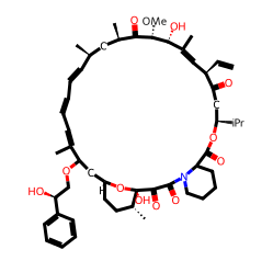 C=C[C@@H]1/C=C(\C)[C@@H](O)[C@@H](OC)C(=O)[C@H](C)C[C@H](C)/C=C/C=C/C=C(\C)C(OC[C@H](O)c2ccccc2)C[C@@H]2CC[C@@H](C)[C@@](O)(O2)C(=O)C(=O)N2CCCCC2C(=O)O[C@H](C(C)C)CC1=O